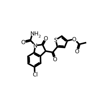 CC(=O)Oc1csc(C(=O)C2C(=O)N(C(N)=O)c3ccc(Cl)cc32)c1